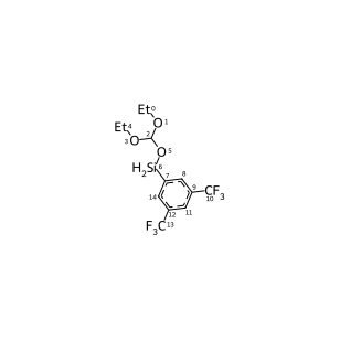 CCOC(OCC)O[SiH2]c1cc(C(F)(F)F)cc(C(F)(F)F)c1